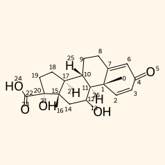 C[C@]12C=CC(=O)C=C1CC[C@@H]1[C@@H]2C(O)C[C@@]2(C)[C@H]1CC[C@]2(O)C(=O)O